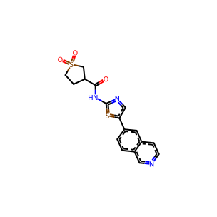 O=C(Nc1ncc(-c2ccc3cnccc3c2)s1)C1CCS(=O)(=O)C1